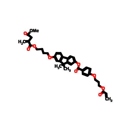 C=CC(=O)OCCCOc1ccc(C(=O)Oc2ccc3c(c2)C(C)(C)c2cc(OCCCCOC(=O)C(=C)CC(=O)OC)ccc2-3)cc1